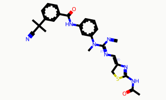 C=N/C(=N\C=C1/CSC(NC(C)=O)=N1)N(C)c1cccc(NC(=O)c2cccc(C(C)(C)C#N)c2)c1